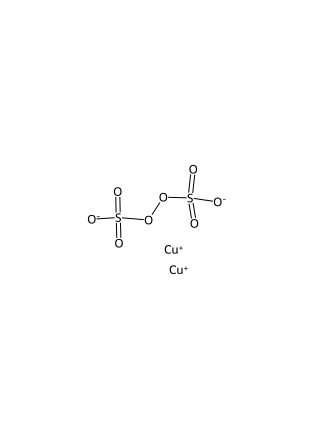 O=S(=O)([O-])OOS(=O)(=O)[O-].[Cu+].[Cu+]